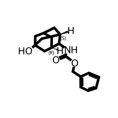 O=C(NC1[C@@H]2CC3C[C@H]1CC(O)(C3)C2)OCc1ccccc1